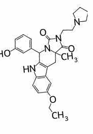 CCOc1ccc2[nH]c3c(c2c1)CC1(C)C(=O)N(CCN2CCCC2)C(=O)N1C3c1cccc(O)c1